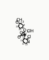 COc1ccc(Oc2nn(-c3cccnc3Cl)c(=O)o2)cc1.Cl